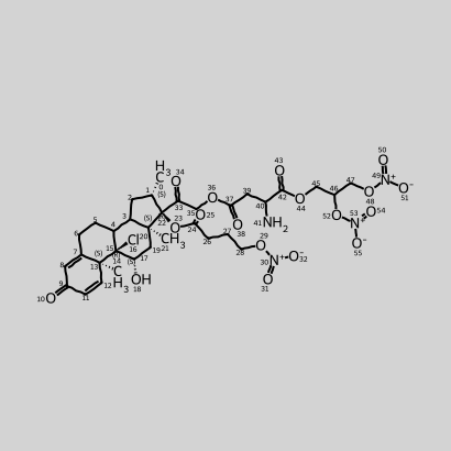 C[C@H]1CC2C3CCC4=CC(=O)C=C[C@]4(C)[C@@]3(Cl)[C@@H](O)C[C@]2(C)[C@@]1(OC(=O)CCCO[N+](=O)[O-])C(=O)COC(=O)CC(N)C(=O)OCC(CO[N+](=O)[O-])O[N+](=O)[O-]